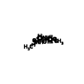 CCCC(=O)Nc1cccc(NC(=O)c2ccc(OC)cc2)c1